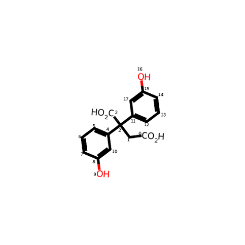 O=C(O)CC(C(=O)O)(c1cccc(O)c1)c1cccc(O)c1